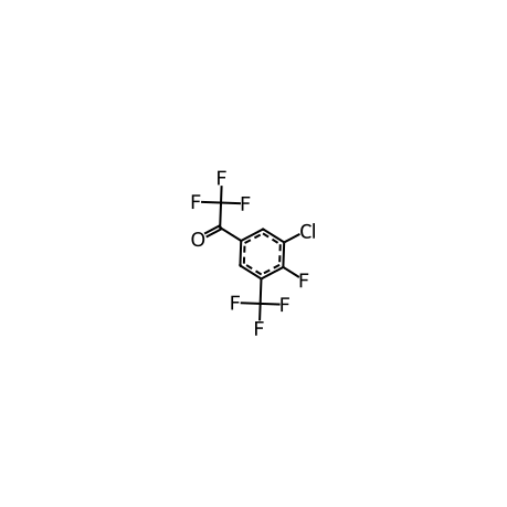 O=C(c1cc(Cl)c(F)c(C(F)(F)F)c1)C(F)(F)F